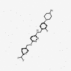 CC(=O)N1CCN(c2ccc(CNc3ccc(OCc4ccc(C(F)F)nc4)nn3)c(F)c2)CC1